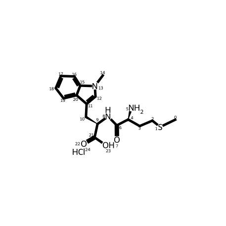 CSCC[C@H](N)C(=O)N[C@H](Cc1cn(C)c2ccccc12)C(=O)O.Cl